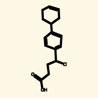 O=C(O)CCC(Cl)c1ccc(C2CC=CCC2)cc1